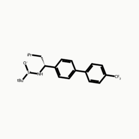 CC(C)C[C@@H](N[S+]([O-])C(C)(C)C)c1ccc(-c2ccc(C(F)(F)F)cc2)cc1